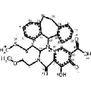 COCCN1C(=O)c2c(O)c(=O)c(C(=O)O)cn2N(C2c3ccccc3CCc3ccccc32)C1CCSC